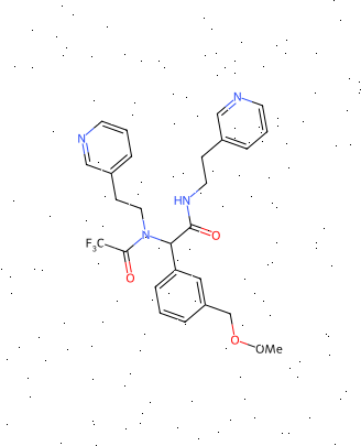 COOCc1cccc(C(C(=O)NCCc2cccnc2)N(CCc2cccnc2)C(=O)C(F)(F)F)c1